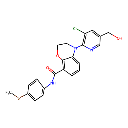 O=C(Nc1ccc(SC(F)(F)F)cc1)c1cccc2c1OCCN2c1ncc(CO)cc1Cl